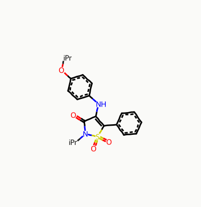 CC(C)Oc1ccc(NC2=C(c3ccccc3)S(=O)(=O)N(C(C)C)C2=O)cc1